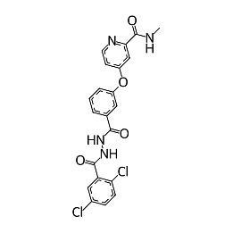 CNC(=O)c1cc(Oc2cccc(C(=O)NNC(=O)c3cc(Cl)ccc3Cl)c2)ccn1